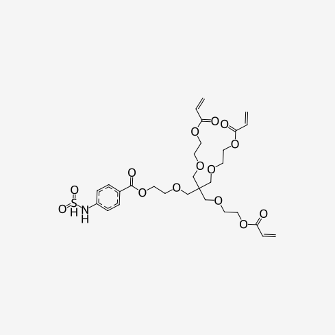 C=CC(=O)OCCOCC(COCCOC(=O)C=C)(COCCOC(=O)C=C)COCCOC(=O)c1ccc(N[SH](=O)=O)cc1